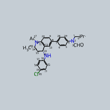 C[C](C)CN(C=O)c1ccc(-c2ccc3c(c2)[C@H](Nc2ccc(Cl)cc2)C[C@H](C)N3C(C)=O)cc1